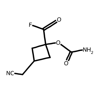 N#CCC1CC(OC(N)=O)(C(=O)F)C1